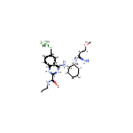 CCNC(=O)c1nc(N[C@H]2CCCC[C@H]2NC(=N)CCOC)c2cc(C)ccc2n1.Cl.Cl